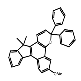 COc1ccc2c3c(c4c(c2c1)OC(c1ccccc1)(c1ccccc1)C=C4)C(C)(C)c1ccccc1-3